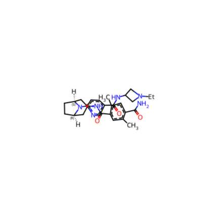 CCN1CC(NC(=O)c2ccc(N3[C@@H]4CC[C@H]3C[C@@H](NC(=O)c3cc(C)c(C(N)=O)cc3C)C4)nc2)C1